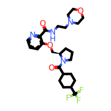 O=C(NCCN1CCOCC1)c1ncccc1OC[C@H]1CCCN1C(=O)C1CCC(C(F)(F)F)CC1